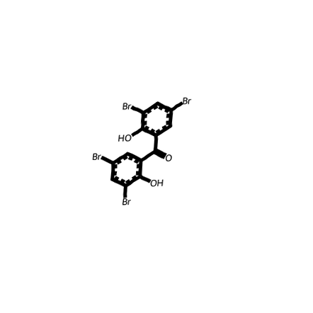 O=C(c1cc(Br)cc(Br)c1O)c1cc(Br)cc(Br)c1O